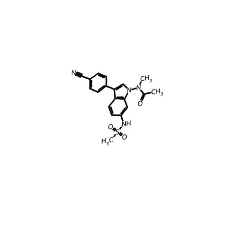 CC(=O)N(C)n1cc(-c2ccc(C#N)cc2)c2ccc(NS(C)(=O)=O)cc21